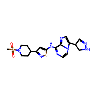 CS(=O)(=O)N1CCC(c2cc(Nc3nccn4c(C5C=NNC5)cnc34)sn2)CC1